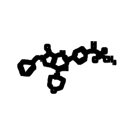 CS(=O)(=O)Nc1ccc(-c2nc3c(c(N4CCOCC4)n2)CN(Cc2ccccc2)C3=O)cc1